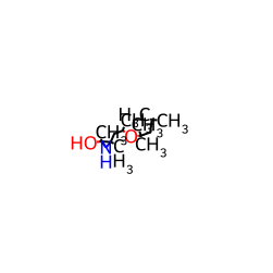 CC(C)CC(C)(C)OC(C)CC1(C)NC1(C)O